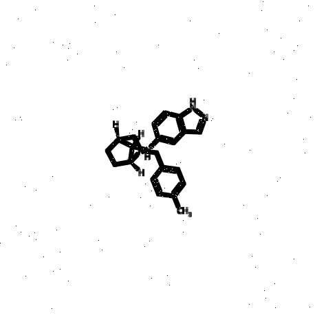 Cc1ccc(CN2C[C@H]3CC[C@@H]2[C@H]3Nc2ccc3[nH]ncc3c2)cc1